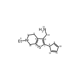 CCN1CCc2c(sc(C3C=CC=C3)c2CN)C1